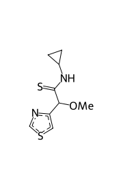 COC(C(=S)NC1CC1)c1cscn1